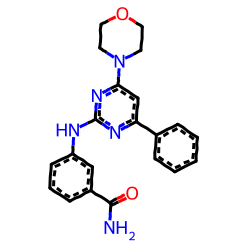 NC(=O)c1cccc(Nc2nc(-c3ccccc3)cc(N3CCOCC3)n2)c1